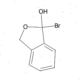 OC1(Br)OCc2ccccc21